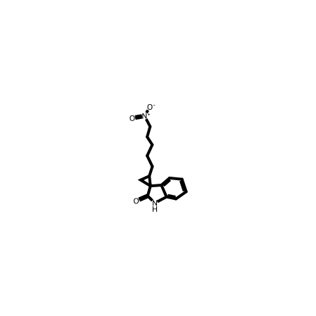 O=C1Nc2ccccc2C12CC2CCCCC[N+](=O)[O-]